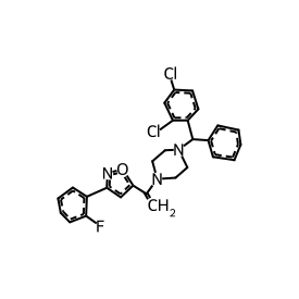 C=C(c1cc(-c2ccccc2F)no1)N1CCN(C(c2ccccc2)c2ccc(Cl)cc2Cl)CC1